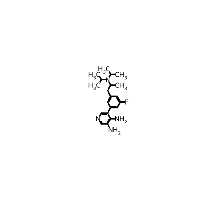 CC(C)N(C(C)C)C(C)Cc1cc(F)cc(-c2cncc(N)c2N)c1